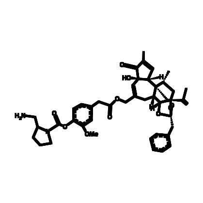 C=C(C)[C@]12C[C@@H](C)[C@@]34O[C@](Cc5ccccc5)(O[C@@H]1[C@@H]3CC(COC(=O)Cc1ccc(OC(=O)N3CCCC3CN)c(OC)c1)=C[C@]1(O)C(=O)C(C)=C[C@@H]41)O2